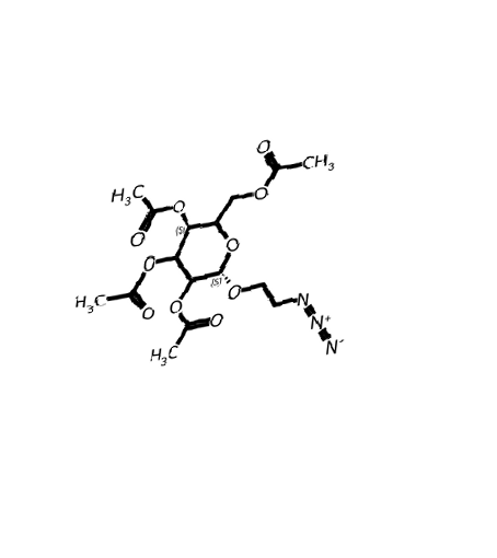 CC(=O)OCC1O[C@H](OCCN=[N+]=[N-])C(OC(C)=O)C(OC(C)=O)[C@H]1OC(C)=O